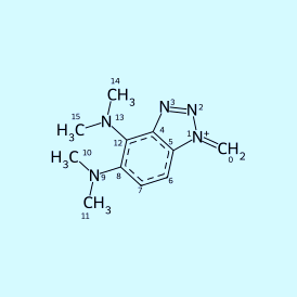 C=[N+]1N=Nc2c1ccc(N(C)C)c2N(C)C